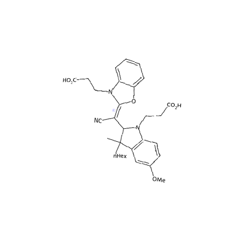 CCCCCCC1(C)c2cc(OC)ccc2N(CCC(=O)O)C1/C(C#N)=C1\Oc2ccccc2N1CCC(=O)O